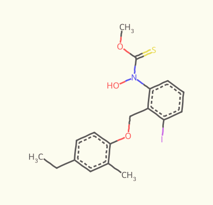 CCc1ccc(OCc2c(I)cccc2N(O)C(=S)OC)c(C)c1